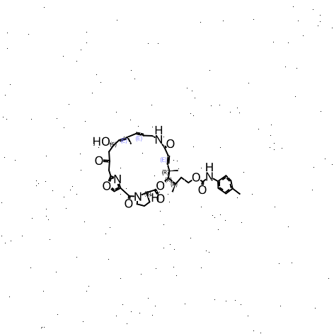 CC1=C\[C@@H](O)CC(=O)Cc2nc(co2)C(=O)N2CCC[C@@H]2C(=O)O[C@H]([C@H](C)CCOC(=O)Nc2ccc(C)cc2)[C@H](C)/C=C/C(=O)NC\C=C\1